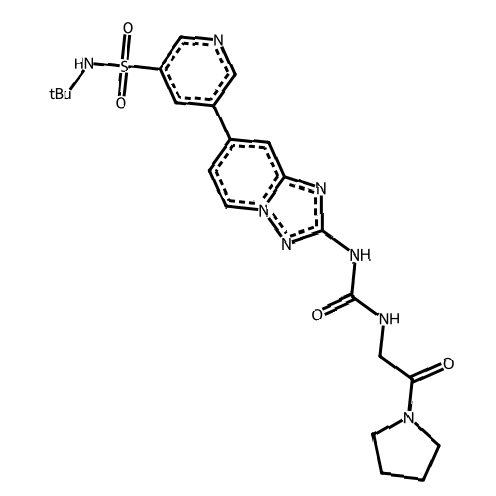 CC(C)(C)NS(=O)(=O)c1cncc(-c2ccn3nc(NC(=O)NCC(=O)N4CCCC4)nc3c2)c1